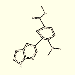 COC(=O)c1ccc(N(C)C)c(-c2cnc3[nH]ccc3c2)c1